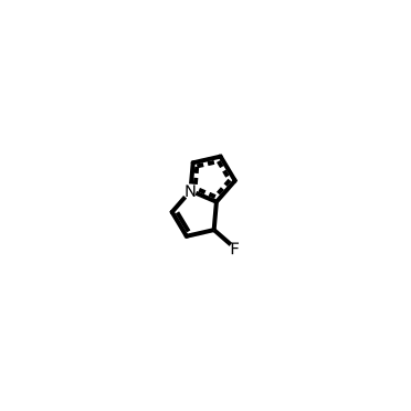 FC1C=Cn2cccc21